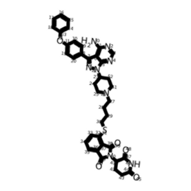 Nc1ncnc2c1c(-c1ccc(Oc3ccccc3)cc1)nn2C1CCN(CCCCSc2cccc3c2C(=O)N(C2CCC(=O)NC2=O)C3=O)CC1